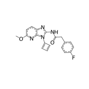 COc1ccc2nc(NC(=O)Cc3ccc(F)cc3)n(C3=CC=C3)c2n1